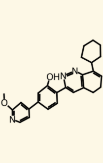 COc1cc(-c2ccc(-c3cc4c(nn3)C(C3CCCCC3)=CCC4)c(O)c2)ccn1